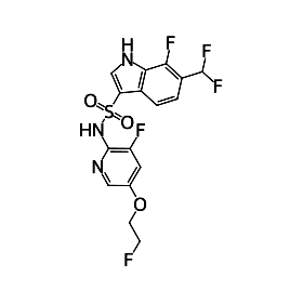 O=S(=O)(Nc1ncc(OCCF)cc1F)c1c[nH]c2c(F)c(C(F)F)ccc12